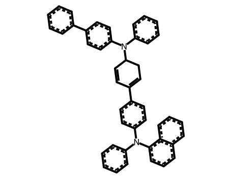 C1=CC(N(c2ccccc2)c2ccc(-c3ccccc3)cc2)CC=C1c1ccc(N(c2ccccc2)c2cccc3ccccc23)cc1